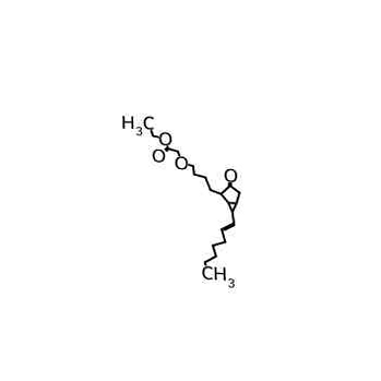 CCCCCC=CC1C2CC(=O)C(CCCCOCC(=O)OCC)C12